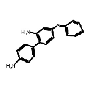 Nc1ccc(-c2ccc(Sc3ccccc3)cc2N)cc1